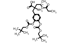 CCC(=O)O[C@@H](C)CC(N)(Cc1ccc(OC(=O)OCC(C)(C)C)c(OC(=O)OCC(C)(C)C)c1)C(=O)O